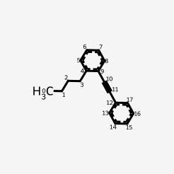 CCCCc1ccccc1C#Cc1ccccc1